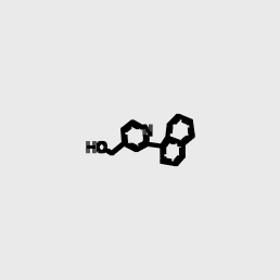 OCc1ccnc(-c2cccc3ccccc23)c1